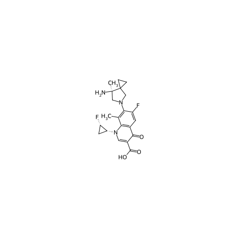 Cc1c(N2CC3(CC3)[C@](C)(N)C2)c(F)cc2c(=O)c(C(=O)O)cn([C@@H]3C[C@@H]3F)c12